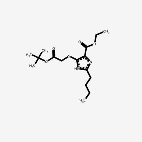 CCCCc1nc(C(=O)OCC)c(SCC(=O)OC(C)(C)C)[nH]1